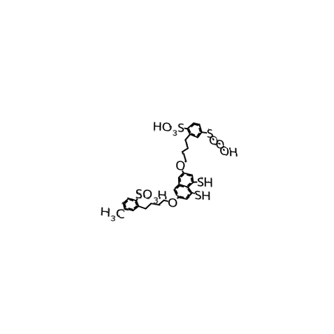 Cc1ccc(S(=O)(=O)O)c(CCCCOc2cc(S)c3c(S)cc(OCCCCc4cc(SOOO)ccc4S(=O)(=O)O)cc3c2)c1